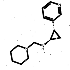 c1cncc([C@@H]2C[C@H]2NCN2CCCCC2)c1